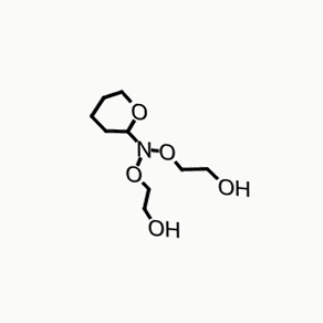 OCCON(OCCO)C1CCCCO1